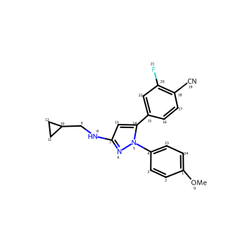 COc1ccc(-n2nc(NCC3CC3)cc2-c2ccc(C#N)c(F)c2)cc1